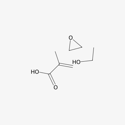 C1CO1.C=C(C)C(=O)O.CCO